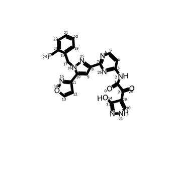 O=C(Nc1ccnc(-c2cc(-c3ccon3)n(Cc3ccccc3F)n2)n1)C(=O)c1c[nH]nc1O